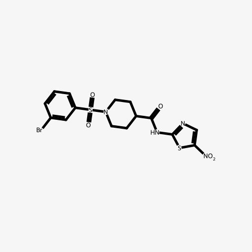 O=C(Nc1ncc([N+](=O)[O-])s1)C1CCN(S(=O)(=O)c2cccc(Br)c2)CC1